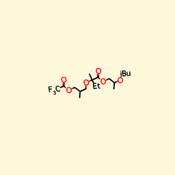 CCC(C)OC(C)COC(=O)C(C)(CC)OCC(C)COC(=O)C(F)(F)F